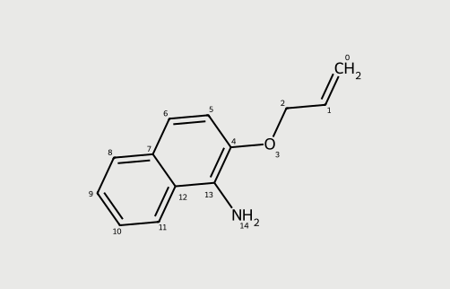 C=CCOc1ccc2ccccc2c1N